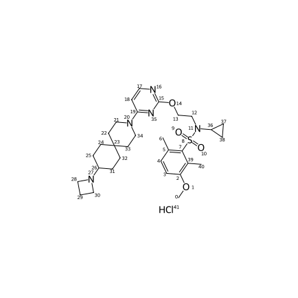 COc1ccc(C)c(S(=O)(=O)N(CCOc2nccc(N3CCC4(CCC(N5CCC5)CC4)CC3)n2)C2CC2)c1C.Cl